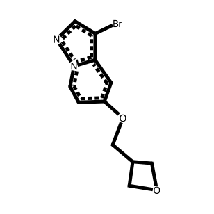 Brc1cnn2ccc(OCC3COC3)cc12